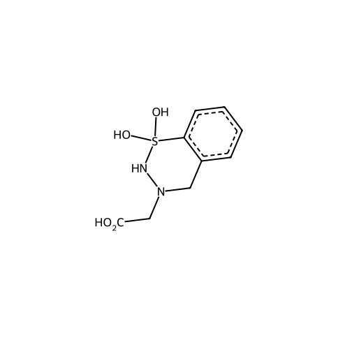 O=C(O)CN1Cc2ccccc2S(O)(O)N1